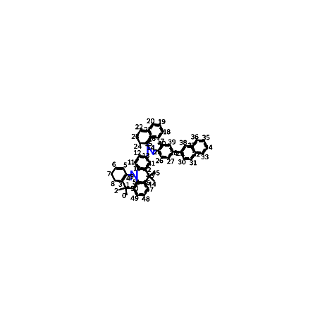 CC1(C)C2=C(C=CCC2)N2c3ccc(N(C4=c5ccccc5=CCC4)c4ccc(-c5ccc6ccccc6c5)cc4)cc3C(C)(C)c3cccc1c32